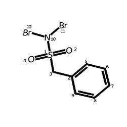 O=S(=O)(Cc1ccccc1)N(Br)Br